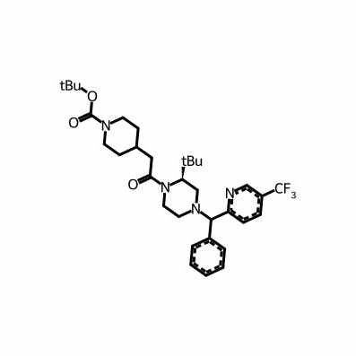 CC(C)(C)OC(=O)N1CCC(CC(=O)N2CCN(C(c3ccccc3)c3ccc(C(F)(F)F)cn3)C[C@@H]2C(C)(C)C)CC1